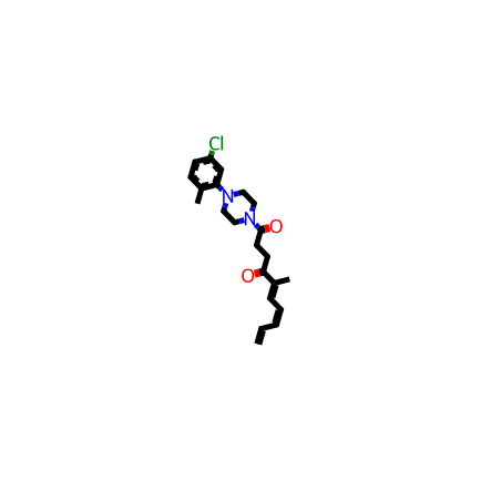 C=C/C=C\C=C(/C)C(=O)CCC(=O)N1CCN(c2cc(Cl)ccc2C)CC1